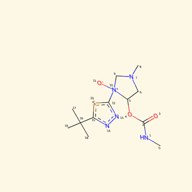 CNC(=O)OC1CN(C)C[N+]1([O-])c1nnc(C(C)(C)C)s1